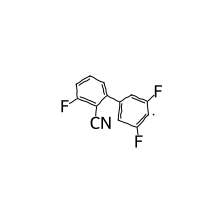 N#Cc1c(F)cccc1-c1cc(F)[c]c(F)c1